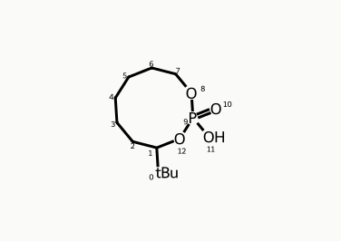 CC(C)(C)C1CCCCCCOP(=O)(O)O1